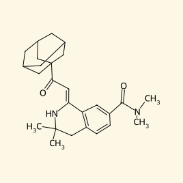 CN(C)C(=O)c1ccc2c(c1)C(=CC(=O)C13CC4CC(CC(C4)C1)C3)NC(C)(C)C2